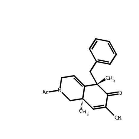 CC(=O)N1CC=C2[C@](C)(Cc3ccccc3)C(=O)C(C#N)=C[C@@]2(C)C1